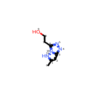 Cc1cc2nnc(CCO)n2[nH]1